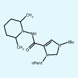 CCCCCN1CN(C(C)(C)C)C=C1C(=O)NN1C(C)CCCC1C